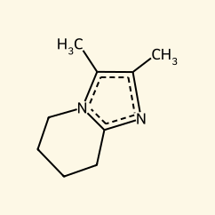 Cc1nc2n(c1C)CCCC2